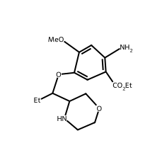 CCOC(=O)c1cc(OC(CC)C2COCCN2)c(OC)cc1N